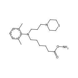 Cc1cccc(C)c1N(CCCCCC(=O)ON)CCCN1CCSCC1